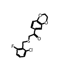 O=C(CSCc1c(F)cccc1Cl)c1ccc2c(c1)OCCO2